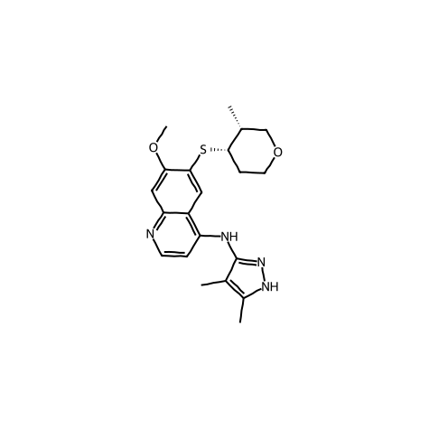 COc1cc2nccc(Nc3n[nH]c(C)c3C)c2cc1S[C@H]1CCOC[C@H]1C